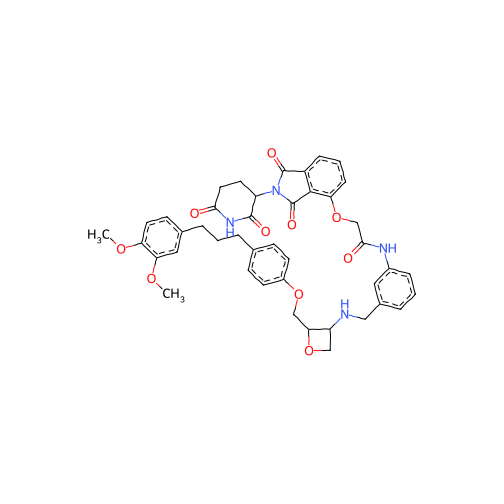 COc1ccc(CCCc2ccc(OCC3OCC3NCc3cccc(NC(=O)COc4cccc5c4C(=O)N(C4CCC(=O)NC4=O)C5=O)c3)cc2)cc1OC